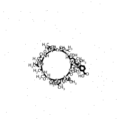 C=C1N[C@@H](C)C(=O)N[C@H](C)C(=O)N(C)[C@@H](CC(C)C)C(=O)N(C)[C@@H](CC(C)C)C(=O)N(C)[C@@H](C(C)C)C(=O)N(C)[C@@H]([C@H](O)[C@H](C)Cc2nc3cc(C(=O)O)ccc3n2C)C(=O)N[C@@H](CC)C(=O)N(C)CC(=O)N(C)[C@@H](CC(C)C)C(=O)N[C@@H](C(C)C)C(=O)N(C)[C@H]1CC(C)C